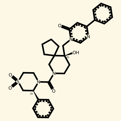 O=C(N1CC[C@@](O)(Cn2cnc(-c3ccccc3)cc2=O)C2(CCCC2)C1)N1CCS(=O)(=O)C[C@@H]1c1ccccc1